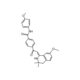 COc1ccc(NC(=O)c2ccc(C(=O)/C=C3\NC(C)(C)Cc4ccc(OC)cc43)cc2)cc1